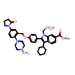 COC(=O)c1ccc2c(C3CCCCC3)c(-c3ccc(OCc4cc(N5CCCC5=O)ccc4N4CCN(C)CC4)cc3)n(CC(=O)O)c2c1